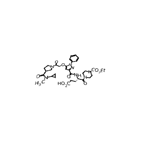 CCOC(=O)N1CCN(C(=O)[C@H](CCC(=O)O)NC(=O)c2cc(OCC(=O)N3CCC(C(=O)N(C)C4CC4)C3)n(-c3ccccc3)n2)CC1